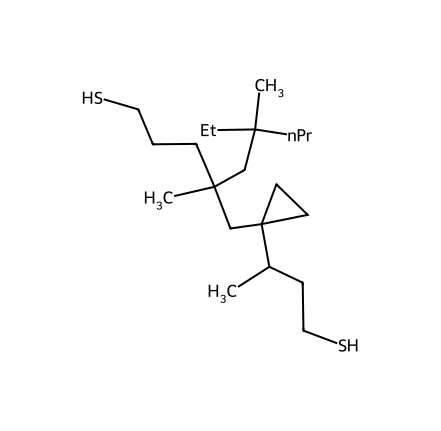 CCCC(C)(CC)CC(C)(CCCS)CC1(C(C)CCS)CC1